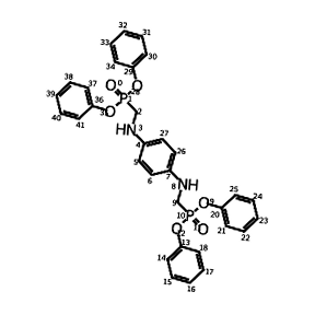 O=P(CNc1ccc(NCP(=O)(Oc2ccccc2)Oc2ccccc2)cc1)(Oc1ccccc1)Oc1ccccc1